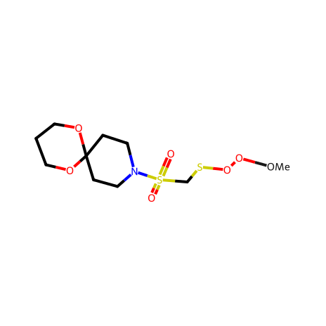 COOOSCS(=O)(=O)N1CCC2(CC1)OCCCO2